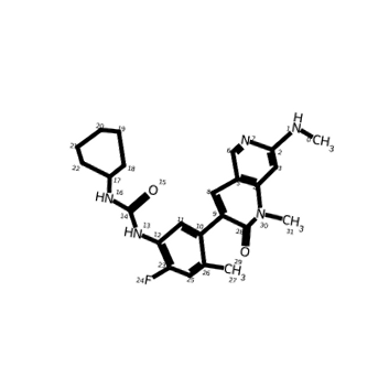 CNc1cc2c(cn1)cc(-c1cc(NC(=O)NC3CCCCC3)c(F)cc1C)c(=O)n2C